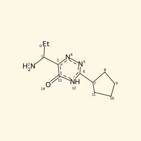 CCC(N)c1nnc(C2CCCC2)[nH]c1=O